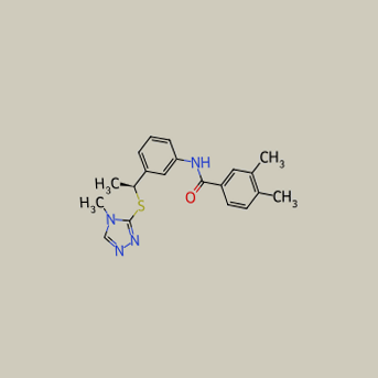 Cc1ccc(C(=O)Nc2cccc([C@H](C)Sc3nncn3C)c2)cc1C